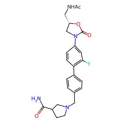 CC(=O)NC[C@H]1CN(c2ccc(-c3ccc(CN4CCC(C(N)=O)C4)cc3)c(F)c2)C(=O)O1